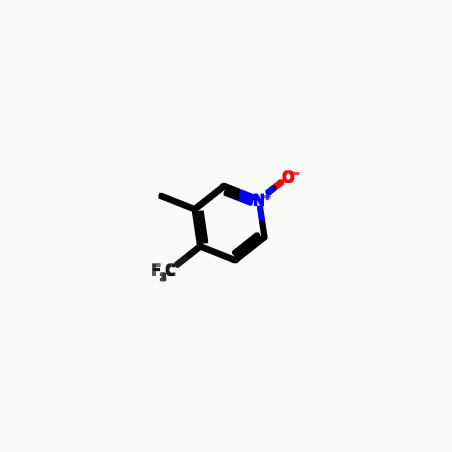 Cc1c[n+]([O-])ccc1C(F)(F)F